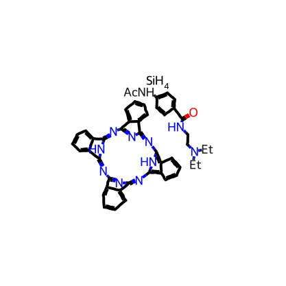 CCN(CC)CCNC(=O)c1ccc(NC(C)=O)cc1.[SiH4].c1ccc2c(c1)-c1nc-2nc2[nH]c(nc3nc(nc4[nH]c(n1)c1ccccc41)-c1ccccc1-3)c1ccccc21